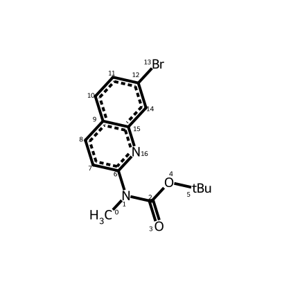 CN(C(=O)OC(C)(C)C)c1ccc2ccc(Br)cc2n1